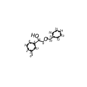 Cc1cccc(C(O)COCc2ccccc2)c1